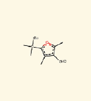 Cc1oc([Si](C)(C)C(C)(C)C)c(C)c1C=O